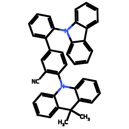 CC1(C)c2ccccc2N(c2ccc(-c3ccccc3-n3c4ccccc4c4ccccc43)cc2C#N)c2ccccc21